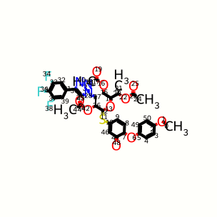 COc1ccc(OC2C=CC(SC(OC(COC(C)=O)[C@@H](C)OC(C)=O)[C@H](Cn3cc(-c4cc(F)c(F)c(F)c4)nn3)OC(C)=O)=CC2=O)cc1